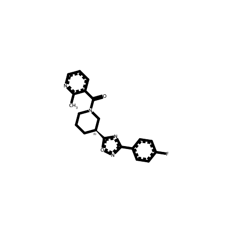 Cc1ncccc1C(=O)N1CCC[C@H](c2nc(-c3ccc(F)cc3)no2)C1